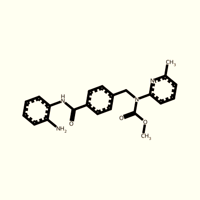 COC(=O)N(Cc1ccc(C(=O)Nc2ccccc2N)cc1)c1cccc(C)n1